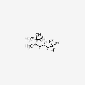 CC(CCCC(F)(F)F)C(C)(C)C